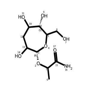 CC(O[C@H]1OC(CO)[C@@H](O)C(O)CC1O)C(N)=O